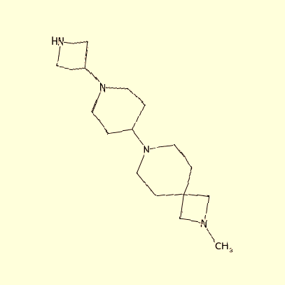 CN1CC2(CCN(C3CCN(C4CNC4)CC3)CC2)C1